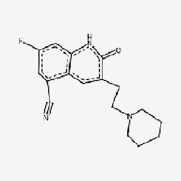 N#Cc1cc(F)cc2[nH]c(=O)c(CCN3CC[CH]CC3)cc12